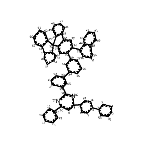 c1ccc(-c2ccc(-c3cc(-c4ccccc4)nc(-c4cccc(-c5cccc(-c6cc7c(cc6-c6cccc8ccccc68)-c6ccccc6C76c7ccccc7-c7ccccc76)c5)c4)n3)cc2)cc1